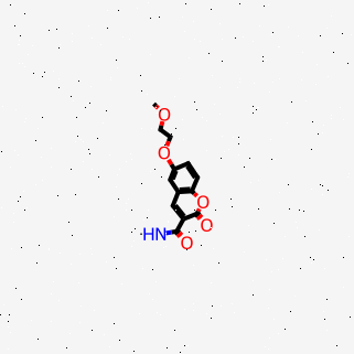 COCCOc1ccc2oc(=O)c(C([NH])=O)cc2c1